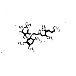 C=C1C(=O)NC(O)N=C1N(CCNCC(C)/C(C)=C\C=C/C)C1=CC(C)=C(C)CC1N